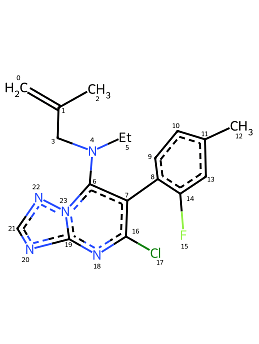 C=C(C)CN(CC)c1c(-c2ccc(C)cc2F)c(Cl)nc2ncnn12